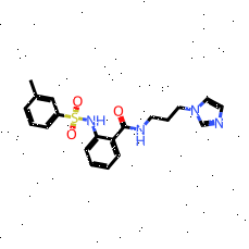 Cc1cccc(S(=O)(=O)Nc2ccccc2C(=O)NCCCn2ccnc2)c1